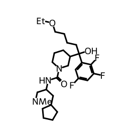 CCOCCCCC(O)(c1cc(F)cc(F)c1F)C1CCCN(C(=O)NC(CNC)CC2CCCC2)C1